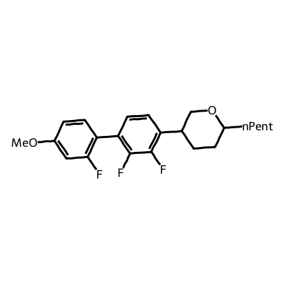 CCCCCC1CCC(c2ccc(-c3ccc(OC)cc3F)c(F)c2F)CO1